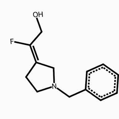 OC/C(F)=C1/CCN(Cc2ccccc2)C1